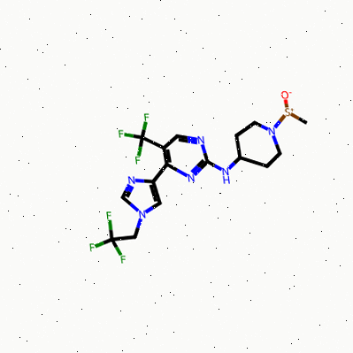 C[S+]([O-])N1CCC(Nc2ncc(C(F)(F)F)c(-c3cn(CC(F)(F)F)cn3)n2)CC1